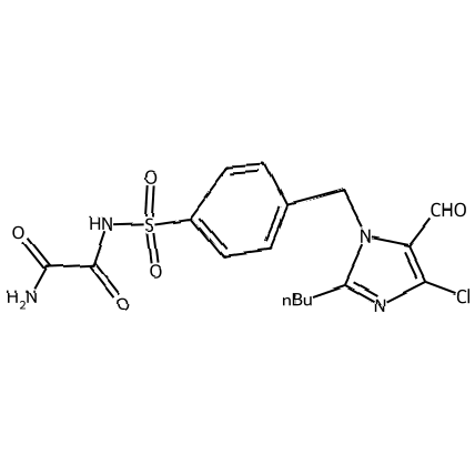 CCCCc1nc(Cl)c(C=O)n1Cc1ccc(S(=O)(=O)NC(=O)C(N)=O)cc1